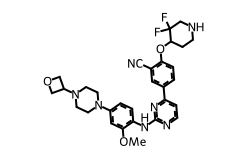 COc1cc(N2CCN(C3COC3)CC2)ccc1Nc1nccc(-c2ccc(OC3CCNCC3(F)F)c(C#N)c2)n1